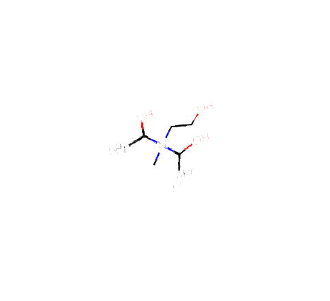 CCCC(O)[N+](C)(CCO)C(O)CCC.[Cl-]